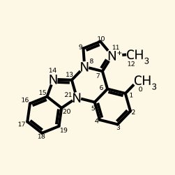 Cc1cccc2c1c1n(cc[n+]1C)c1nc3ccccc3n21